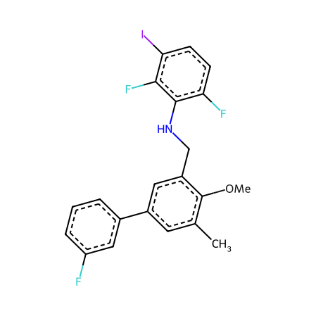 COc1c(C)cc(-c2cccc(F)c2)cc1CNc1c(F)ccc(I)c1F